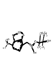 CC(C)(O)C(C)(C)OB(O)c1ccc(B(O)O)c2nsnc12